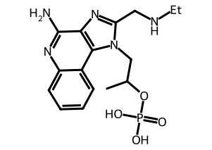 CCNCc1nc2c(N)nc3ccccc3c2n1CC(C)OP(=O)(O)O